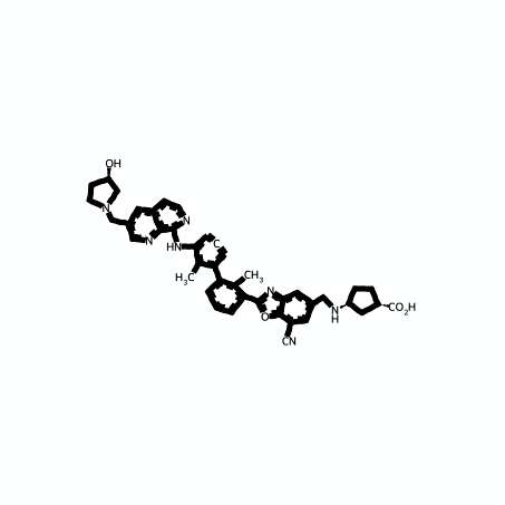 Cc1c(Nc2nccc3cc(CN4CC[C@@H](O)C4)cnc23)cccc1-c1cccc(-c2nc3cc(CN[C@@H]4CC[C@H](C(=O)O)C4)cc(C#N)c3o2)c1C